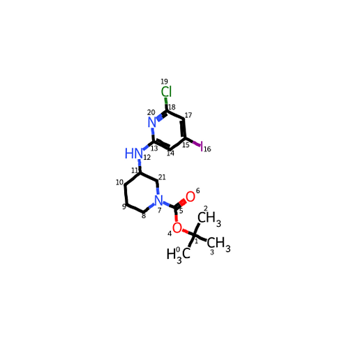 CC(C)(C)OC(=O)N1CCCC(Nc2cc(I)cc(Cl)n2)C1